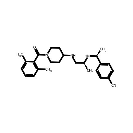 Cc1cccc(C)c1C(=O)N1CCC(NC[C@H](C)N[C@@H](C)c2ccc(C#N)cc2)CC1